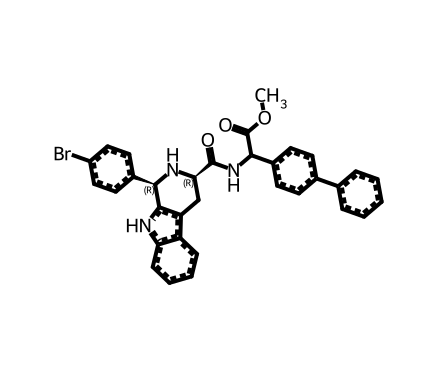 COC(=O)C(NC(=O)[C@H]1Cc2c([nH]c3ccccc23)[C@@H](c2ccc(Br)cc2)N1)c1ccc(-c2ccccc2)cc1